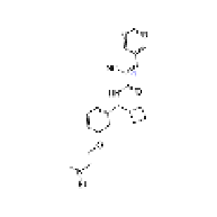 CCN(C)CCOC1C=CC=C(C(NC(=O)/C(C#N)=C/c2cncnc2)C2CCC2)C1